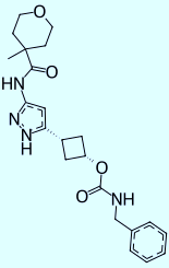 CC1(C(=O)Nc2cc([C@H]3C[C@@H](OC(=O)NCc4ccccc4)C3)[nH]n2)CCOCC1